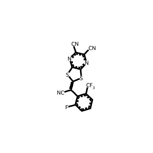 N#CC(=C1Sc2nc(C#N)c(C#N)nc2S1)c1c(F)cccc1C(F)(F)F